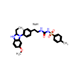 CCC1Nc2ccc(OC)cc2N1c1ccc(CCNC(=O)NS(=O)(=O)c2ccc(C)cc2)cc1.[NaH]